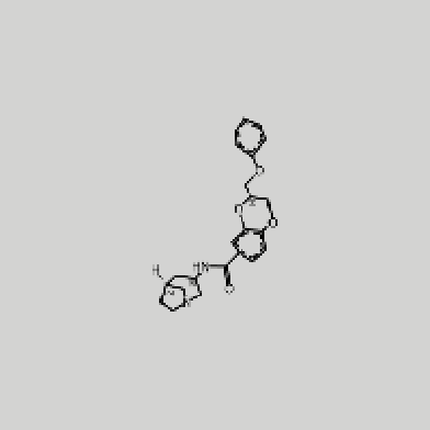 O=C(N[C@@H]1C[C@@H]2CCN(C2)C1)c1ccc2c(c1)O[C@@H](COc1ccccc1)CO2